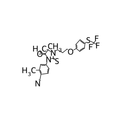 Cc1cc(N2C(=O)C(C)(C)N(CCCOc3ccc(SC(F)(F)F)cc3)C2=S)ccc1C#N